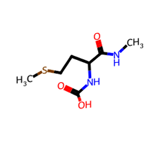 CNC(=O)C(CCSC)NC(=O)O